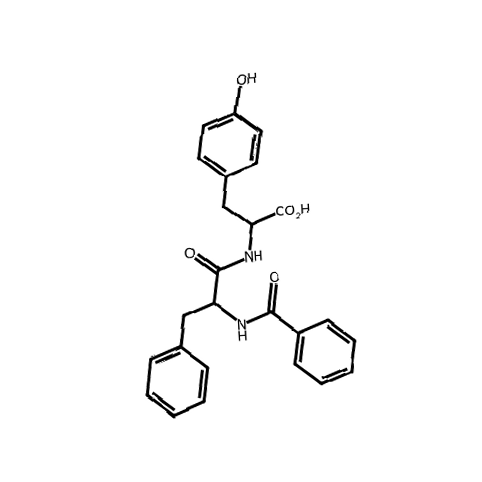 O=C(NC(Cc1ccccc1)C(=O)NC(Cc1ccc(O)cc1)C(=O)O)c1ccccc1